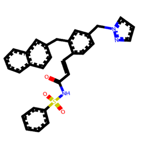 O=C(C=Cc1ccc(Cn2cccn2)cc1Cc1ccc2ccccc2c1)NS(=O)(=O)c1ccccc1